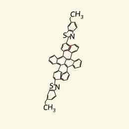 CCc1ccc2nc(-c3ccc(-c4c5ccccc5c(-c5ccc(-c6nc7ccc(CC)cc7s6)cc5)c5c(-c6ccccc6)c6ccccc6c(-c6ccccc6)c45)cc3)sc2c1